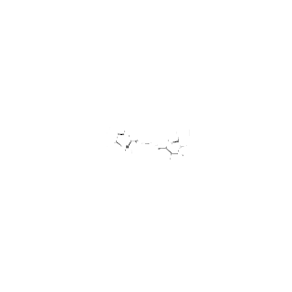 Cc1nc(C)c(C[Se][Se]Cc2nc(C)c(C)nc2C)nc1C